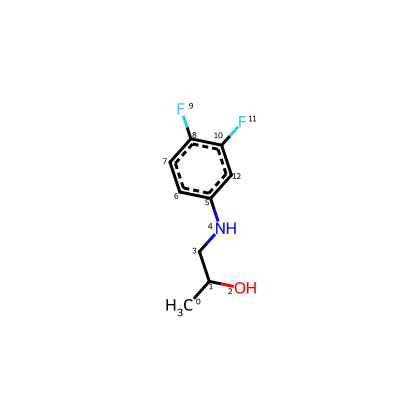 CC(O)CNc1ccc(F)c(F)c1